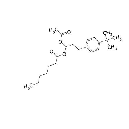 CCCCCCC(=O)OC(CCc1ccc(C(C)(C)C)cc1)OC(C)=O